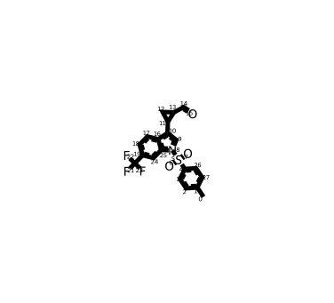 Cc1ccc(S(=O)(=O)n2cc(C3CC3C=O)c3ccc(C(F)(F)F)cc32)cc1